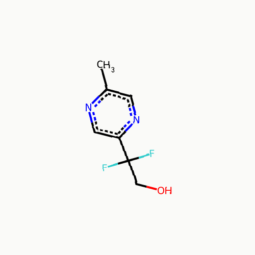 Cc1cnc(C(F)(F)CO)cn1